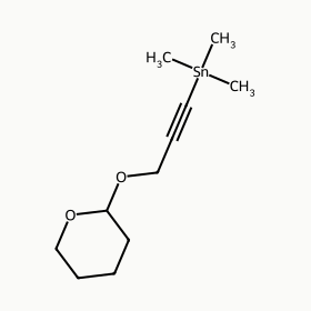 [CH3][Sn]([CH3])([CH3])[C]#CCOC1CCCCO1